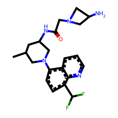 CC1CC(NC(=O)CN2CC(N)C2)CN(c2ccc(C(F)F)c3ncccc23)C1